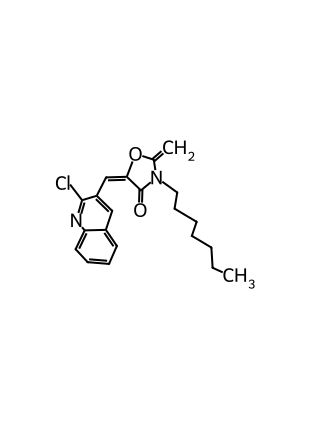 C=c1o/c(=C/c2cc3ccccc3nc2Cl)c(=O)n1CCCCCCC